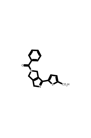 O=C(O)c1ccc(C2=NCC3=C2CN(C(=O)c2ccccc2)C3)s1